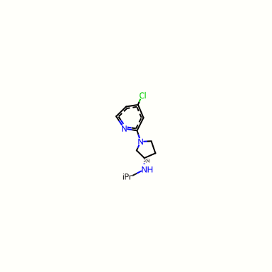 CC(C)N[C@H]1CCN(c2cc(Cl)ccn2)C1